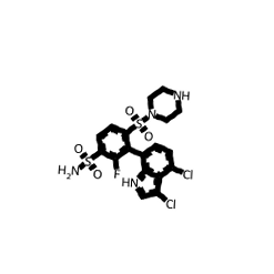 NS(=O)(=O)c1ccc(S(=O)(=O)N2CCNCC2)c(-c2ccc(Cl)c3c(Cl)c[nH]c23)c1F